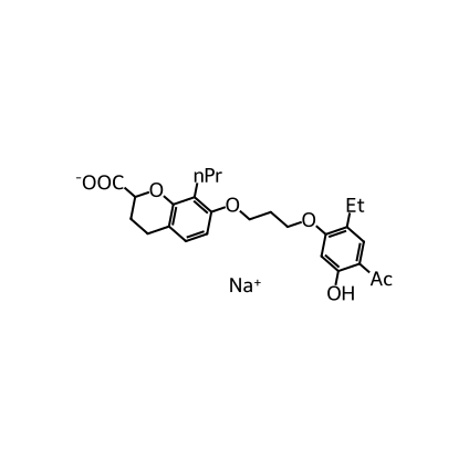 CCCc1c(OCCCOc2cc(O)c(C(C)=O)cc2CC)ccc2c1OC(C(=O)[O-])CC2.[Na+]